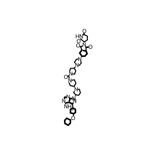 Nc1ncnc2c1c(-c1ccc(Oc3ccccc3)cc1)nn2[C@@H]1CCCN(C2CCN(C(=O)N3CCC(N4CCN(c5ccc6c(c5)C(=O)N(C5CCC(=O)NC5=O)C6=O)CC4)CC3)CC2)C1